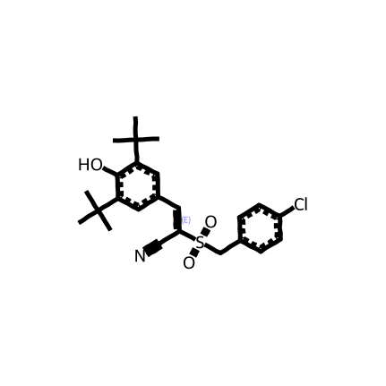 CC(C)(C)c1cc(/C=C(\C#N)S(=O)(=O)Cc2ccc(Cl)cc2)cc(C(C)(C)C)c1O